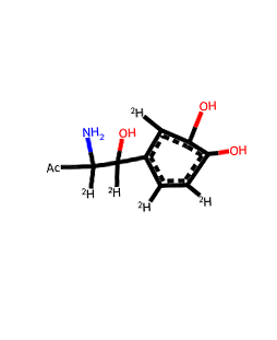 [2H]c1c([2H])c(C([2H])(O)C([2H])(N)C(C)=O)c([2H])c(O)c1O